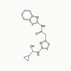 O=C(Cc1csc(NC(O)C2CC2)n1)Nc1nc2ccccc2s1